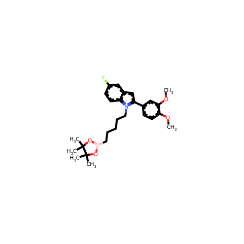 COc1ccc(-c2cc3cc(F)ccc3n2CCCCCB2OC(C)(C)C(C)(C)O2)cc1OC